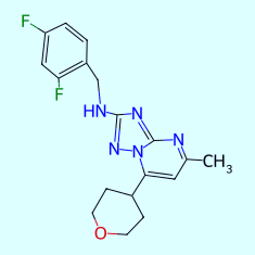 Cc1cc(C2CCOCC2)n2nc(NCc3ccc(F)cc3F)nc2n1